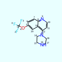 FC(F)(F)Oc1ccc2nccc(N3CCNCC3)c2c1